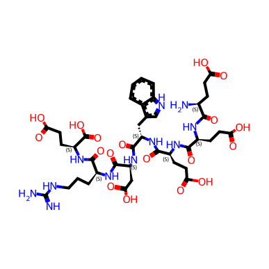 N=C(N)NCCC[C@H](NC(=O)[C@H](CC(=O)O)NC(=O)[C@H](Cc1c[nH]c2ccccc12)NC(=O)[C@H](CCC(=O)O)NC(=O)[C@H](CCC(=O)O)NC(=O)[C@@H](N)CCC(=O)O)C(=O)N[C@@H](CCC(=O)O)C(=O)O